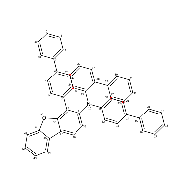 c1ccc(-c2ccc(-c3c(N(c4ccc(-c5ccccc5)cc4)c4ccccc4-c4ccccc4)ccc4c3oc3ccccc34)cc2)cc1